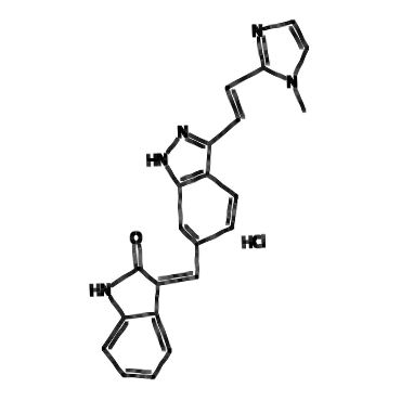 Cl.Cn1ccnc1C=Cc1n[nH]c2cc(C=C3C(=O)Nc4ccccc43)ccc12